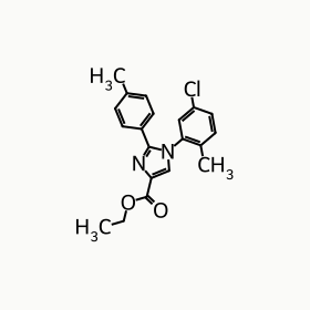 CCOC(=O)c1cn(-c2cc(Cl)ccc2C)c(-c2ccc(C)cc2)n1